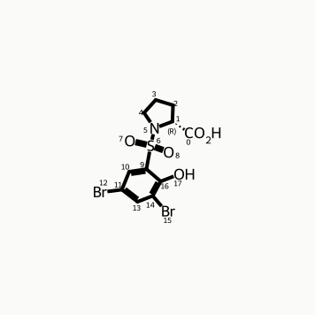 O=C(O)[C@H]1CCCN1S(=O)(=O)c1cc(Br)cc(Br)c1O